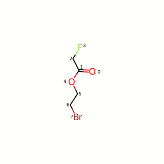 O=C(CF)OCCBr